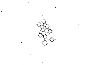 Cc1ccccc1N(c1ccc2c3c(n(-c4ccccc4C)c2c1)C=CCC=C3)c1cc2c(c3oc4ccccc4c13)C1=C(CCCC1)C21C2=C(CCCC2)c2ccccc21